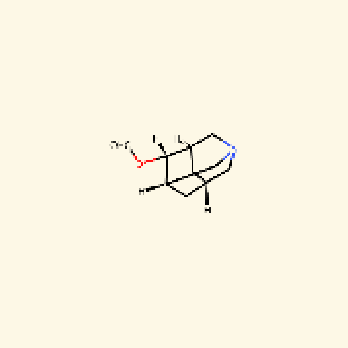 O=CO[C@@H]1[C@@H]2C[C@H]3C[C@H]1CN(C3)C2